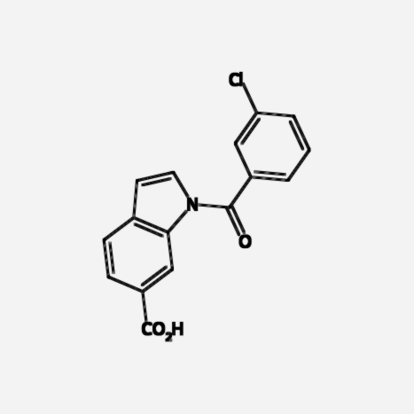 O=C(O)c1ccc2ccn(C(=O)c3cccc(Cl)c3)c2c1